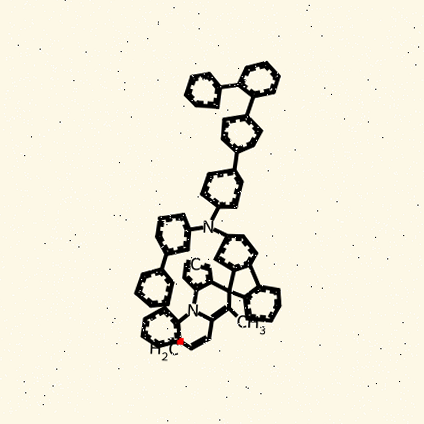 C=C/C=C\C1=C(C)C2(c3ccccc3-c3ccc(N(c4ccc(-c5ccc(-c6ccccc6-c6ccccc6)cc5)cc4)c4cccc(-c5ccccc5)c4)cc32)c2ccccc2N1c1ccccc1